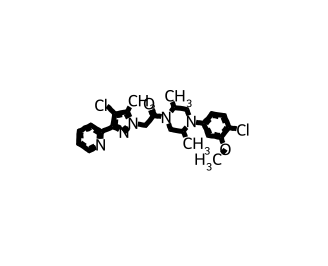 COc1cc(N2CC(C)N(C(=O)Cn3nc(-c4ccccn4)c(Cl)c3C)CC2C)ccc1Cl